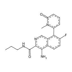 CCCNC(=O)c1ncc2c(-c3cccc(=O)n3C)c(F)ccc2c1N